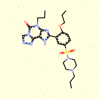 CCCOc1ccc(S(=O)(=O)N2CCN(CCC)CC2)cc1-c1nc2c([nH]1)c1nncn1c(=O)n2CCC